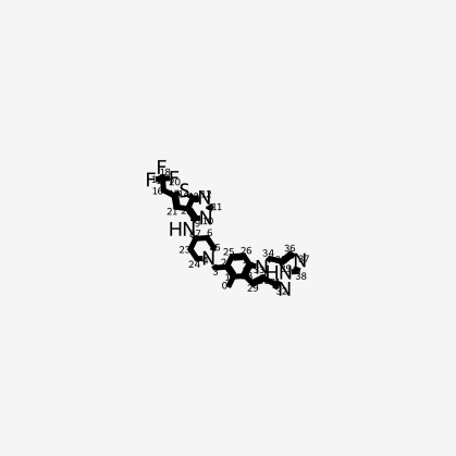 Cc1c(CN2CCC(Nc3ncnc4sc(CC(F)(F)F)cc34)CC2)ccc2c1cc(C#N)n2Cc1cnc[nH]1